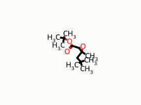 CC(C)(C)CC1(C)OC1C(=O)OC(C)(C)C